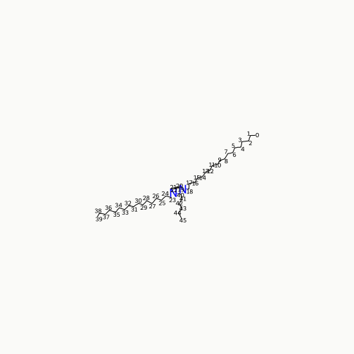 CCCCCCCCCCCCCCCCCCCN1C=CN(CCCCCCCCCCCCCCCCC)C1CCCCC